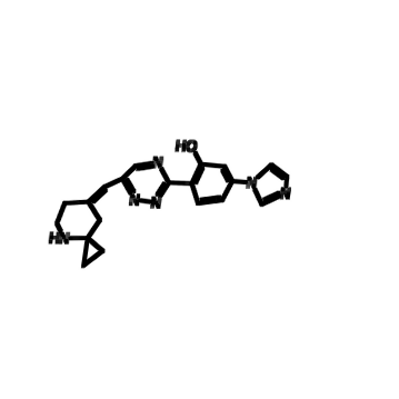 Oc1cc(-n2ccnc2)ccc1-c1ncc(C=C2CCNC3(CC3)C2)nn1